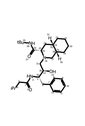 CC(C)CC(=O)N[C@@H](Cc1ccccc1)[C@H](O)CN1C[C@H]2CCCC[C@H]2C[C@H]1C(=O)NC(C)(C)C